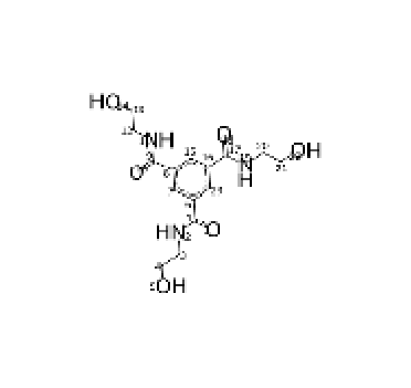 O=C(NCCO)c1cc(C(=O)NCCO)cc(C(=O)NCCO)c1